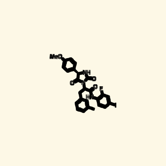 COc1ccc([C@H]2NC(=O)N(C(Cc3cccc(C)c3)C(=O)Nc3ccc(I)cc3F)C2=O)cc1